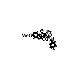 COc1ccc2c(c1)CC(C(=O)O)N2C(=O)[C@@H](NC(=O)OCc1ccccc1)C(C)C